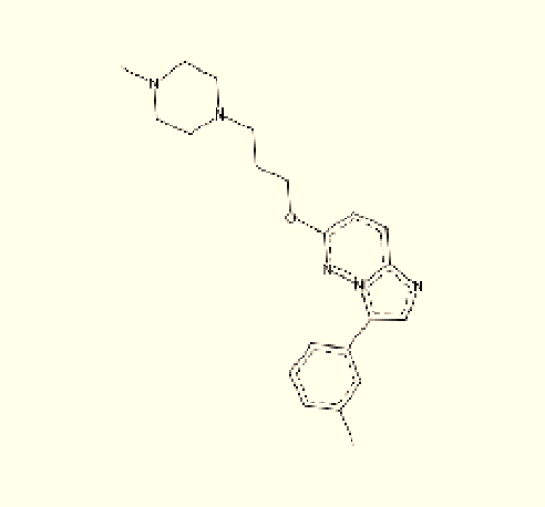 Cc1cccc(-c2cnc3ccc(OCCCN4CCN(C)CC4)nn23)c1